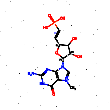 C[n+]1cn([C@@H]2O[C@H](/C=C/P(=O)(O)O)C(O)[C@@H]2O)c2nc(N)[nH]c(=O)c21